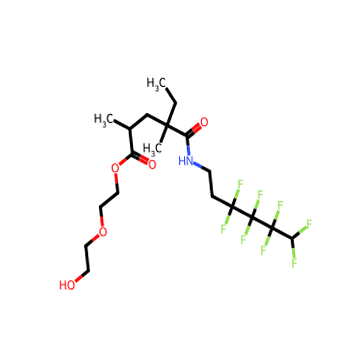 CCC(C)(CC(C)C(=O)OCCOCCO)C(=O)NCCC(F)(F)C(F)(F)C(F)(F)C(F)F